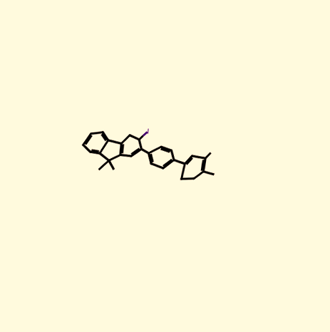 CC1=C(C)CCC(c2ccc(C3=CC4=C(CC3I)c3ccccc3C4(C)C)cc2)=C1